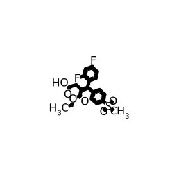 CCOC(=O)/C(CC(=O)O)=C(\c1ccc(S(C)(=O)=O)cc1)c1ccc(F)cc1F